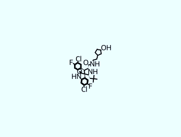 CC(C)(C)C[C@H]1N[C@@H](C(=O)NCCC2CCC(O)C2)[C@H](c2ccc(F)c(Cl)c2)[C@@]12C(=O)Nc1cc(Cl)c(F)cc12